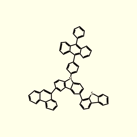 c1ccc(-c2c3ccccc3c(-c3ccc(-n4c5ccc(-c6cc7ccccc7c7ccccc67)cc5c5cc(-c6cccc7c6sc6ccccc67)ccc54)cc3)c3ccccc23)cc1